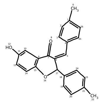 Cc1ccc(C=C2C(=O)c3cc(O)ccc3OC2c2ccc(C)cc2)cc1